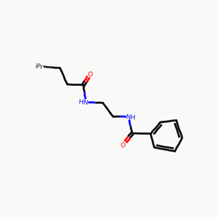 CC(C)CCC(=O)NCCNC(=O)c1ccccc1